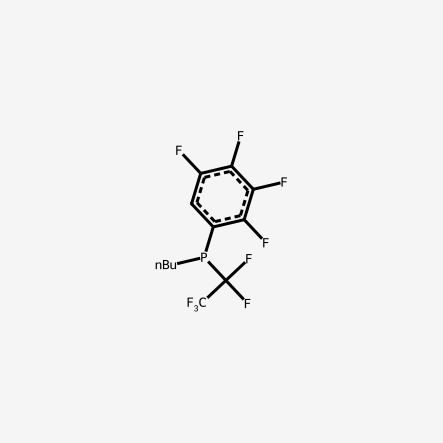 CCCCP(c1cc(F)c(F)c(F)c1F)C(F)(F)C(F)(F)F